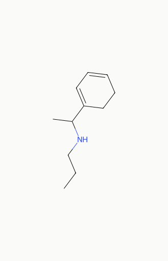 CCCNC(C)C1=CC=CCC1